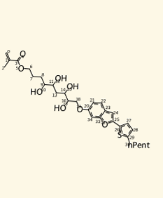 C=C(C)C(=O)OCCCC(O)C(O)CC(O)C(O)COc1ccc2cc(-c3ccc(CCCCC)s3)oc2c1